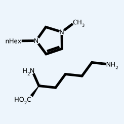 CCCCCCN1C=CN(C)C1.NCCCC[C@H](N)C(=O)O